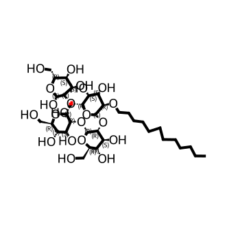 CCCCCCCCCCCCO[C@H]1[C@H](O[C@H]2[C@@H](O[C@H]3[C@@H](O[C@@H]4[C@@H](O)[C@H](O)[C@@H](CO)O[C@@H]4O)O[C@H](CO)[C@@H](O)[C@@H]3O)O[C@H](CO)[C@@H](O)[C@@H]2O)O[C@H](CO)[C@@H](O)[C@@H]1O